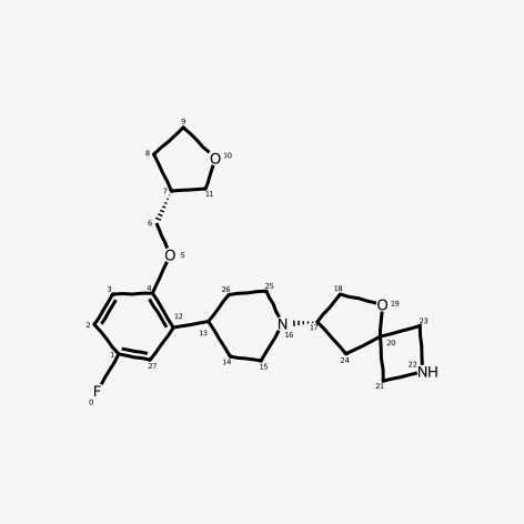 Fc1ccc(OC[C@@H]2CCOC2)c(C2CCN([C@@H]3COC4(CNC4)C3)CC2)c1